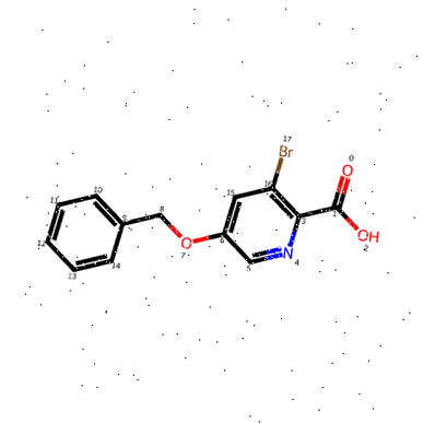 O=C(O)c1ncc(OCc2ccccc2)cc1Br